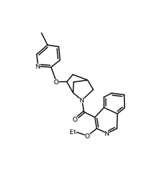 CCOc1ncc2ccccc2c1C(=O)N1CC2CC(Oc3ccc(C)cn3)C1C2